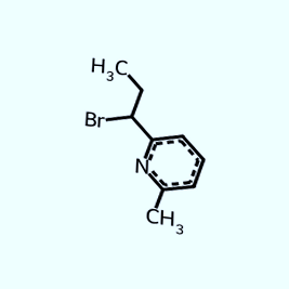 CCC(Br)c1cccc(C)n1